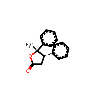 O=C1C[C@@H](c2ccccc2)[C@](c2ccccc2)(C(F)(F)F)O1